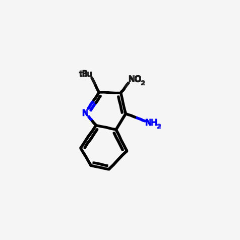 CC(C)(C)c1nc2ccccc2c(N)c1[N+](=O)[O-]